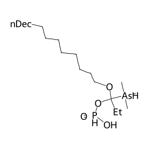 CCCCCCCCCCCCCCCCCCOC(CC)(O[PH](=O)O)[AsH](C)(C)C